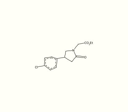 CCOC(=O)CN1CC(c2ccc(Cl)cc2)CC1=O